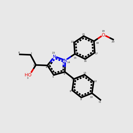 CCC(O)c1cc(-c2ccc(C)cc2)n(-c2ccc(OC)cc2)n1